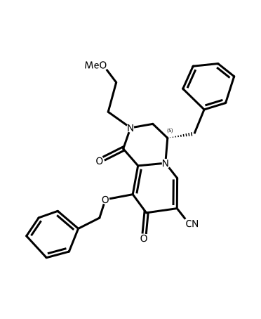 COCCN1C[C@H](Cc2ccccc2)n2cc(C#N)c(=O)c(OCc3ccccc3)c2C1=O